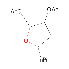 CCCC1CC(OC(C)=O)C(OC(C)=O)O1